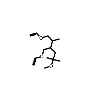 C=COCC(C)C(COC=C)CC(C)(C)OC